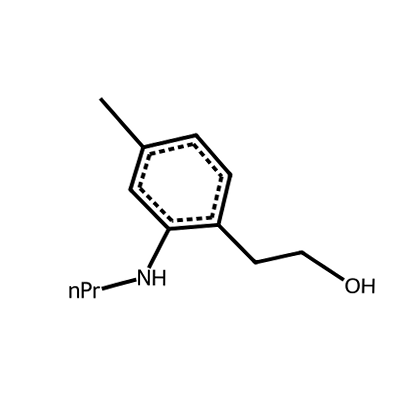 CCCNc1cc(C)ccc1CCO